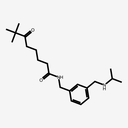 CC(C)NCc1cccc(CNC(=O)CCCCC(=O)C(C)(C)C)c1